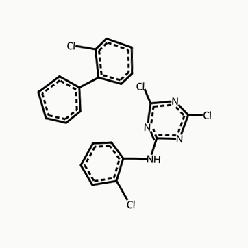 Clc1ccccc1-c1ccccc1.Clc1nc(Cl)nc(Nc2ccccc2Cl)n1